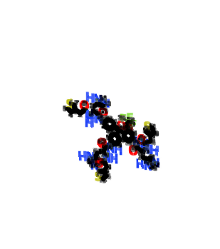 O=C(Cc1ccsc1)N[C@H](Cc1cnc[nH]1)C(=O)Nc1ccc(C(OC(=O)C(F)(F)F)(c2ccc(NC(=O)[C@@H](Cc3cnc[nH]3)NC(=O)Cc3ccsc3)cc2)c2ccc(NC(=O)[C@@H](Cc3cnc[nH]3)NC(=O)Cc3ccsc3)cc2)cc1